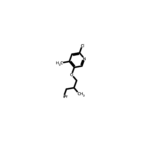 Cc1cc(Cl)ncc1OCC(C)CC(C)C